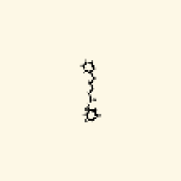 [CH](CC=Cc1ccccc1)CSc1ccccc1